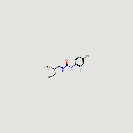 CC(C)CC(CNC(=O)Nc1ccc(Br)cc1F)C(=O)O